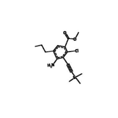 CCCc1cc(C(=O)OC)c(Cl)c(C#C[Si](C)(C)C)c1N